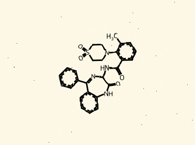 Cc1cccc(C(=O)NC2N=C(c3ccccc3)c3ccccc3NC2=O)c1N1CCS(=O)(=O)CC1